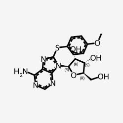 COc1ccc(Sc2nc3c(N)ncnc3n2[C@@H]2O[C@H](CO)[C@@H](O)[C@H]2O)cc1